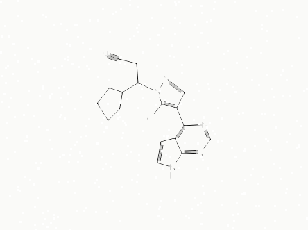 N#CCC(C1CCCC1)n1ncc(-c2ncnc3[nH]ccc23)c1O